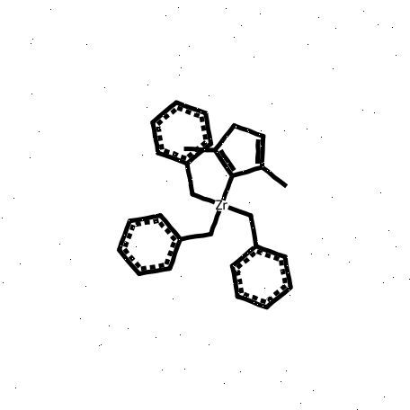 CC1=CCC(C)=[C]1[Zr]([CH2]c1ccccc1)([CH2]c1ccccc1)[CH2]c1ccccc1